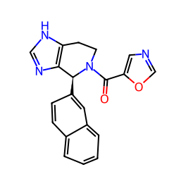 O=C(c1cnco1)N1CCc2[nH]cnc2[C@@H]1c1ccc2ccccc2c1